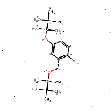 CC(C)(C)[Si](C)(C)OCc1cc(O[Si](C)(C)C(C)(C)C)ccc1I